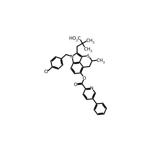 CC1Cc2c(OC(=O)c3ccc(-c4ccccc4)cn3)ccc3c2c(c(CC(C)(C)C(=O)O)n3Cc2ccc(Cl)cc2)S1